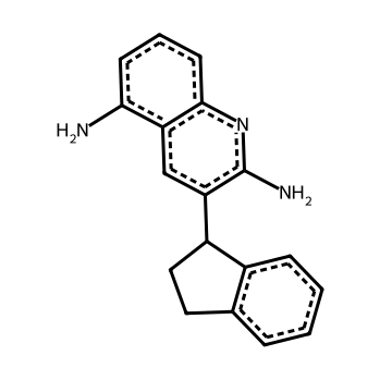 Nc1nc2cccc(N)c2cc1C1CCc2ccccc21